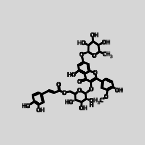 COc1cc(-c2oc3cc(O[C@@H]4OC(C)[C@H](O)C(O)[C@@H]4O)cc(O)c3c(=O)c2O[C@@H]2OC(COC(=O)/C=C/c3ccc(O)c(O)c3)[C@@H](O)C(O)[C@@H]2O)ccc1O